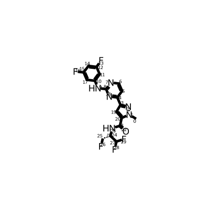 Cn1nc(-c2ccnc(Nc3cc(F)cc(F)c3)n2)cc1C(=O)N[C@@H](CF)C(F)F